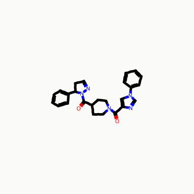 O=C(c1cn(-c2ccccc2)cn1)N1CCC(C(=O)N2N=CCC2c2ccccc2)CC1